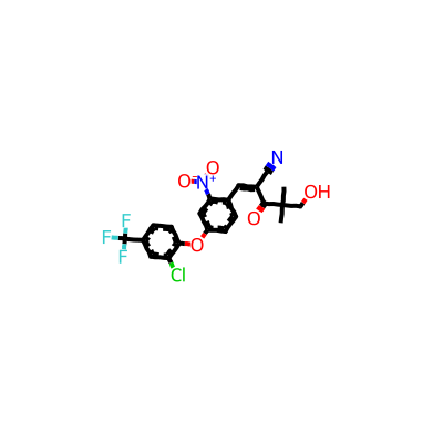 CC(C)(CO)C(=O)C(C#N)=Cc1ccc(Oc2ccc(C(F)(F)F)cc2Cl)cc1[N+](=O)[O-]